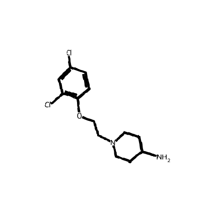 NC1CCN(CCOc2ccc(Cl)cc2Cl)CC1